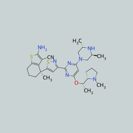 C[C@H](Oc1cc(N2C[C@H](C)N[C@@H](C)C2)nc(-c2cc([C@@]3(C)CCCc4sc(N)c(C#N)c43)sn2)n1)[C@@H]1CCCN1C